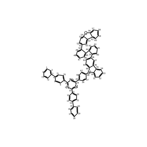 c1ccc(-c2ccc(-c3nc(-c4ccc(-c5ccccc5)cc4)nc(-c4ccc(-n5c6ccccc6c6cc(-c7ccccc7-c7ccccc7-c7ccc8oc9ccccc9c8c7)ccc65)cc4)n3)cc2)cc1